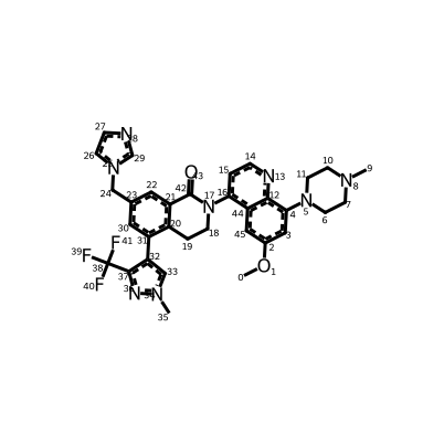 COc1cc(N2CCN(C)CC2)c2nccc(N3CCc4c(cc(Cn5ccnc5)cc4-c4cn(C)nc4C(F)(F)F)C3=O)c2c1